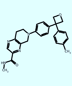 CNC(=O)c1cnc2c(n1)CN(c1ccc(C3(c4ccc(C)cc4)COC3)cc1)CC2